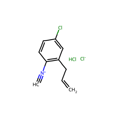 C#[N+]c1ccc(Cl)cc1CC=C.Cl.[Cl-]